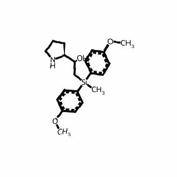 COc1ccc([Si](C)(C[C@@H](O)[C@@H]2CCCN2)c2ccc(OC)cc2)cc1